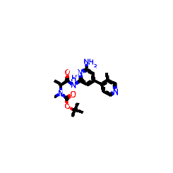 Cc1cnccc1-c1cc(N)nc(NC(=O)C(C)N(C)C(=O)OC(C)(C)C)c1